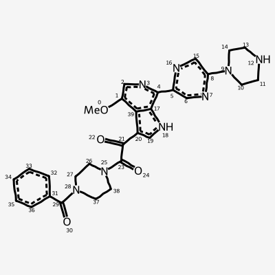 COc1cnc(-c2cnc(N3CCNCC3)cn2)c2[nH]cc(C(=O)C(=O)N3CCN(C(=O)c4ccccc4)CC3)c12